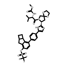 COC(=O)N[C@H](C(=O)N1CC2(C[C@H]1c1ncc(-c3ccc(-c4ccc(OS(=O)(=O)C(F)(F)F)c5c4C4CCC4C5)cc3)[nH]1)OCCO2)C(C)C